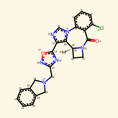 O=C1c2c(Cl)cccc2-n2cnc(-c3nc(CN4Cc5ccccc5C4)no3)c2[C@@H]2CCN12